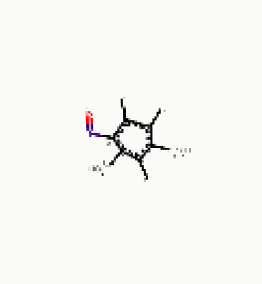 Cc1c(C)c(C(=O)O)c(C)c(C(=O)O)c1I=O